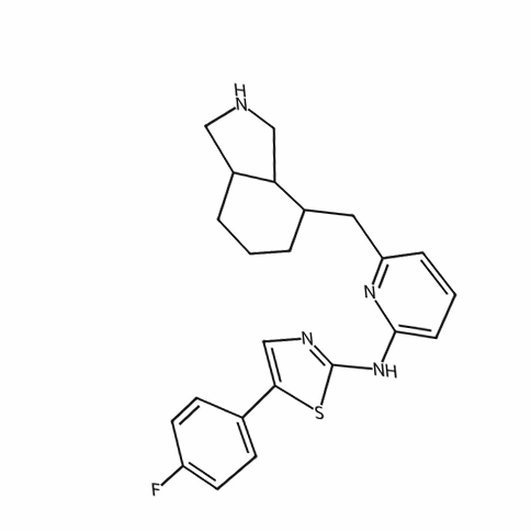 Fc1ccc(-c2cnc(Nc3cccc(CC4CCCC5CNCC54)n3)s2)cc1